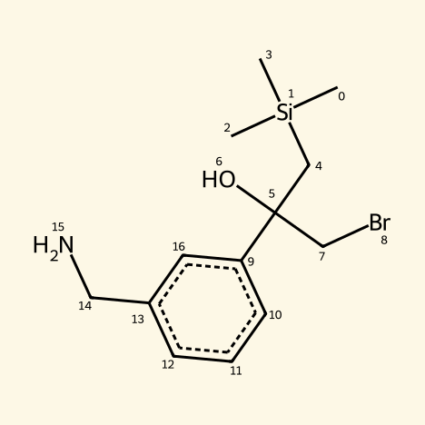 C[Si](C)(C)CC(O)(CBr)c1cccc(CN)c1